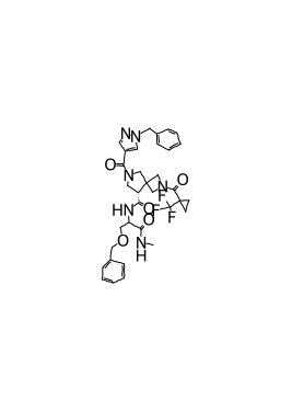 CNC(=O)C(COCc1ccccc1)NC(=O)[C@@H]1CN(C(=O)c2cnn(Cc3ccccc3)c2)CC12CN(C(=O)C1(C(F)(F)F)CC1)C2